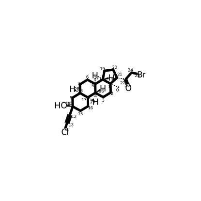 C[C@]12CC[C@H]3[C@@H](CC[C@@H]4C[C@@](O)(C#CCl)CC[C@@H]43)[C@@H]1CC[C@@H]2C(=O)CBr